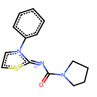 O=C(/N=c1\sccn1-c1ccccc1)N1CCCC1